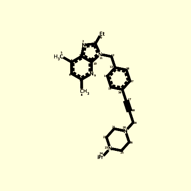 CCc1nc2c(C)cc(C)nc2n1Cc1ccc(C#CCN2CCN(C(C)C)CC2)cc1